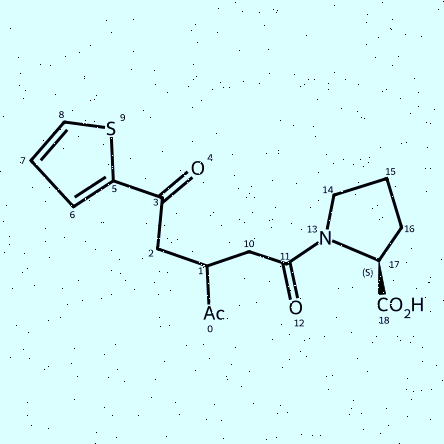 CC(=O)C(CC(=O)c1cccs1)CC(=O)N1CCC[C@H]1C(=O)O